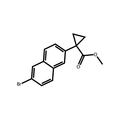 COC(=O)C1(c2ccc3cc(Br)ccc3c2)CC1